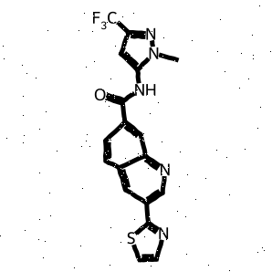 Cn1nc(C(F)(F)F)cc1NC(=O)c1ccc2cc(-c3nccs3)cnc2c1